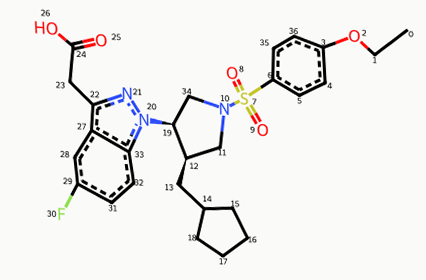 CCOc1ccc(S(=O)(=O)N2C[C@@H](CC3CCCC3)[C@@H](n3nc(CC(=O)O)c4cc(F)ccc43)C2)cc1